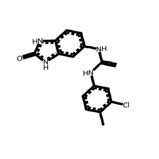 C=C(Nc1ccc(C)c(Cl)c1)Nc1ccc2[nH]c(=O)[nH]c2c1